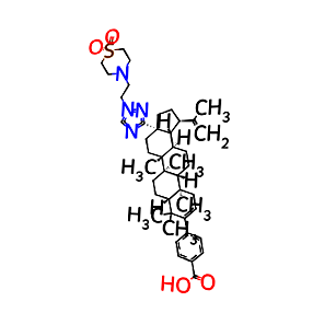 C=C(C)[C@@H]1CC[C@]2(c3ncn(CCN4CCS(=O)(=O)CC4)n3)CC[C@]3(C)[C@H](CC[C@@H]4[C@@]5(C)CC=C(c6ccc(C(=O)O)cc6)C(C)(C)[C@@H]5CC[C@]43C)[C@@H]12